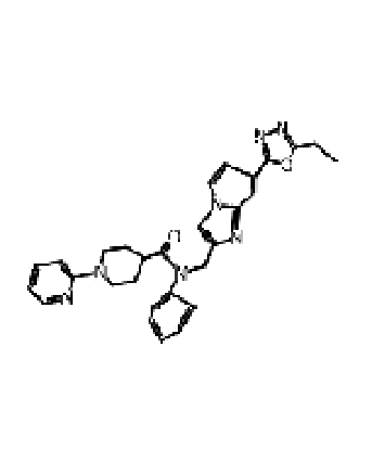 CCc1nnc(-c2ccn3cc(CN(C(=O)C4CCN(c5ccccn5)CC4)c4ccccc4)nc3c2)o1